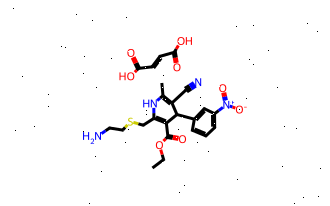 CCOC(=O)C1=C(CSCCN)NC(C)=C(C#N)C1c1cccc([N+](=O)[O-])c1.O=C(O)C=CC(=O)O